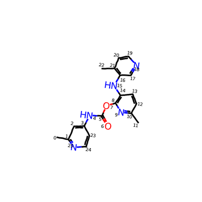 Cc1cc(NC(=O)Oc2nc(C)ccc2Nc2cnccc2C)ccn1